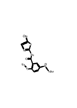 CCCCNc1ccc(OCC)c(C(=O)Nc2ncc(N=O)s2)c1